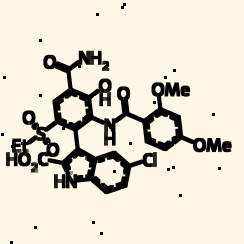 CCS(=O)(=O)c1cc(C(N)=O)c(O)c(NC(=O)c2ccc(OC)cc2OC)c1-c1c(C(=O)O)[nH]c2ccc(Cl)cc12